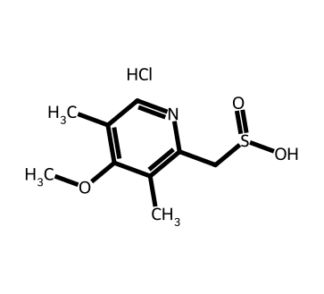 COc1c(C)cnc(CS(=O)O)c1C.Cl